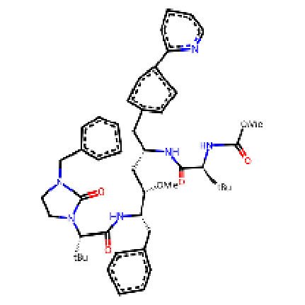 [CH2]O[C@@H](C[C@H](Cc1ccc(-c2ccccn2)cc1)NC(=O)[C@@H](NC(=O)OC)C(C)(C)C)[C@H](Cc1ccccc1)NC(=O)[C@@H](N1CCN(Cc2ccccc2)C1=O)C(C)(C)C